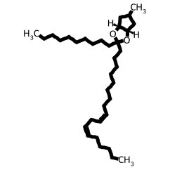 CCCCC/C=C\C/C=C\CCCCCCCCC1(CCCCCCCCCC)O[C@H]2CC(C)C[C@H]2O1